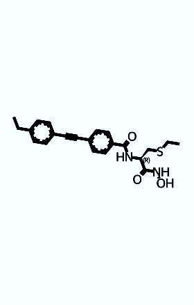 CCSC[C@H](NC(=O)c1ccc(C#Cc2ccc(CC)cc2)cc1)C(=O)NO